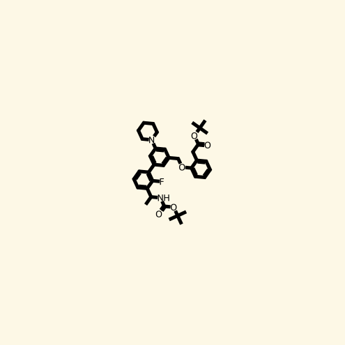 CC(NC(=O)OC(C)(C)C)c1cccc(-c2cc(COc3ccccc3CC(=O)OC(C)(C)C)cc(N3CCCCC3)c2)c1F